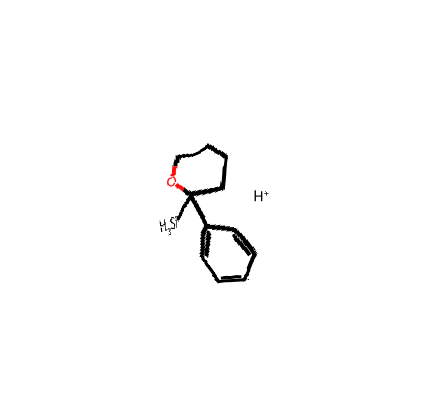 [H+].[SiH3]C1(c2cc[c]cc2)CCCCO1